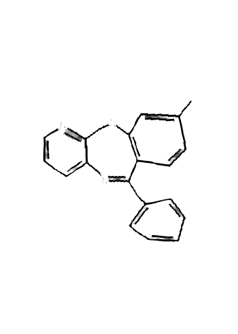 Fc1ccc2c(c1)Nc1ncccc1N=C2c1ccccc1